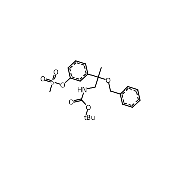 CC(C)(C)OC(=O)NCC(C)(OCc1ccccc1)c1cccc(OS(C)(=O)=O)c1